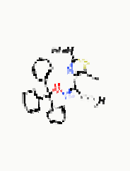 CNc1nc(/C(=N\OC(c2ccccc2)(c2ccccc2)c2ccccc2)C(=O)O)c(C)s1